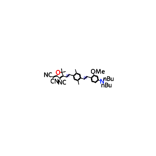 [C-]#[N+]C1=C(/C=C/c2cc(C)c(/C=C/c3ccc(N(CCCC)CCCC)cc3OC)cc2C)C(C)(C)OC1=C(C#N)C#N